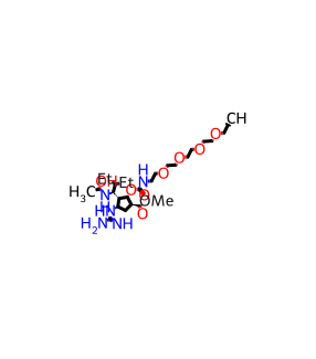 C#CCOCCOCCOCCOCCNC(=O)O[C@H]1[C@@H]([C@@H](NC(C)O)C(CC)CC)[C@H](NC(=N)N)C[C@@H]1C(=O)OC